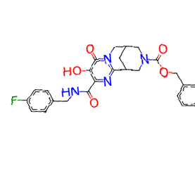 O=C(NCc1ccc(F)cc1)c1nc2n(c(=O)c1O)CC1CC2CN(C(=O)OCc2ccccc2)C1